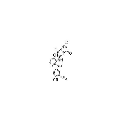 CCc1cc(=O)n2cc(Nc3c(C)ccnc3Nc3ccc(C#N)c(C(F)(F)F)c3)cc(F)c2n1